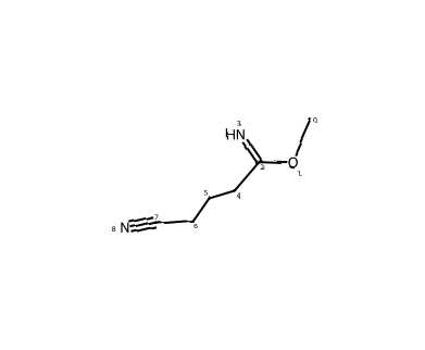 COC(=N)CCCC#N